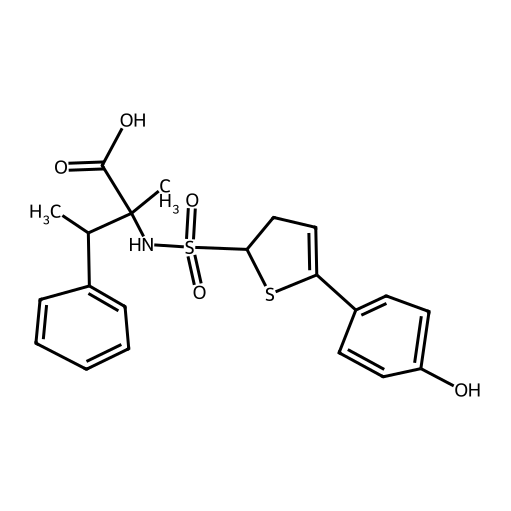 CC(c1ccccc1)C(C)(NS(=O)(=O)C1CC=C(c2ccc(O)cc2)S1)C(=O)O